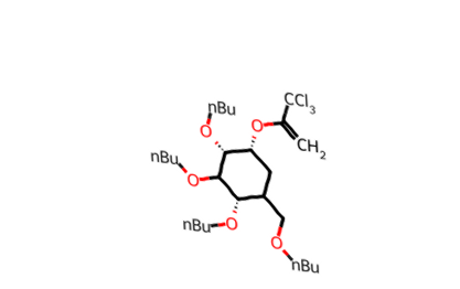 C=C(O[C@@H]1CC(COCCCC)[C@H](OCCCC)C(OCCCC)[C@@H]1OCCCC)C(Cl)(Cl)Cl